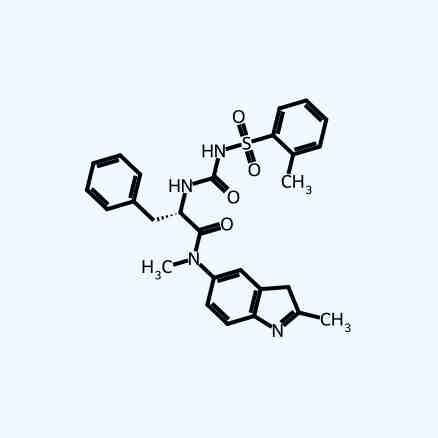 CC1=Nc2ccc(N(C)C(=O)[C@H](Cc3ccccc3)NC(=O)NS(=O)(=O)c3ccccc3C)cc2C1